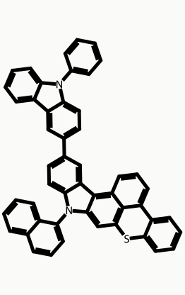 c1ccc(-n2c3ccccc3c3cc(-c4ccc5c(c4)c4c6cccc7c6c(cc4n5-c4cccc5ccccc45)Sc4ccccc4-7)ccc32)cc1